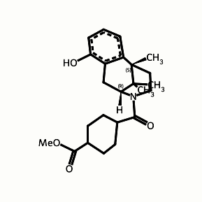 COC(=O)C1CCC(C(=O)N2CC[C@@]3(C)c4cccc(O)c4C[C@@H]2C3(C)C)CC1